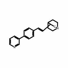 C(=CC1CN2CCC1CC2)c1ccc(-c2cccnc2)cc1